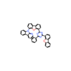 c1ccc(-c2nc(-c3cccc4c3oc3ccccc34)nc(-c3cccc4c3oc3c(-n5c6ccccc6c6cccnc65)cccc34)n2)cc1